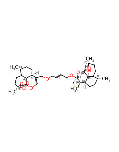 C[C@@H]1CC[C@H]2C(COC/C=C/CO[C@@]3(CF)O[C@@H]4O[C@]5(C)CCC6[C@H](C)CC[C@@H]([C@H]3C)[C@]64OO5)=CO[C@@H]3O[C@]4(C)CCC1[C@]32OO4